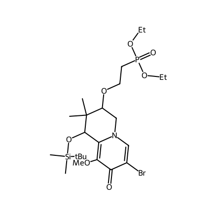 CCOP(=O)(CCOC1Cn2cc(Br)c(=O)c(OC)c2C(O[Si](C)(C)C(C)(C)C)C1(C)C)OCC